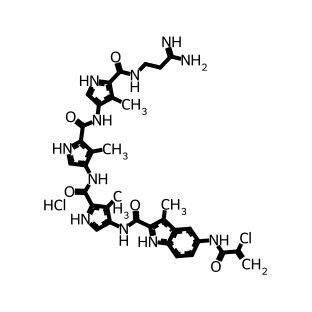 C=C(Cl)C(=O)Nc1ccc2[nH]c(C(=O)Nc3c[nH]c(C(=O)Nc4c[nH]c(C(=O)Nc5c[nH]c(C(=O)NCCC(=N)N)c5C)c4C)c3C)c(C)c2c1.Cl